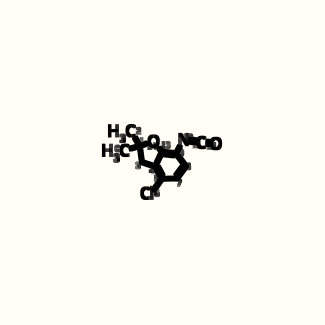 CC1(C)Cc2c(Cl)ccc(N=C=O)c2O1